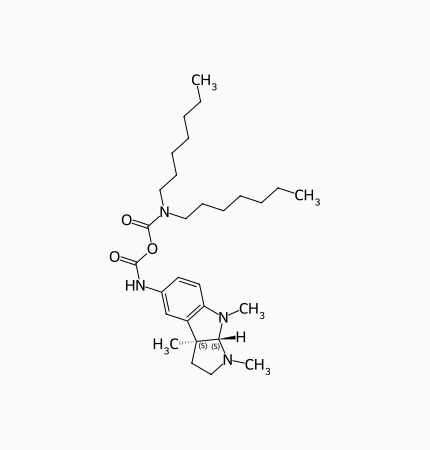 CCCCCCCN(CCCCCCC)C(=O)OC(=O)Nc1ccc2c(c1)[C@]1(C)CCN(C)[C@H]1N2C